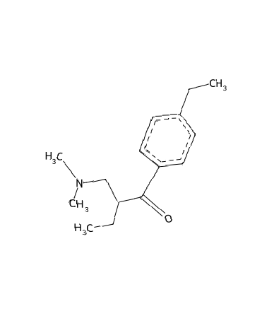 CCc1ccc(C(=O)C(CC)CN(C)C)cc1